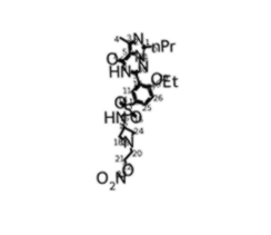 CCCc1nc(C)c2c(=O)[nH]c(-c3cc(S(=O)(=O)NC4CN(CCO[N+](=O)[O-])C4)ccc3OCC)nn12